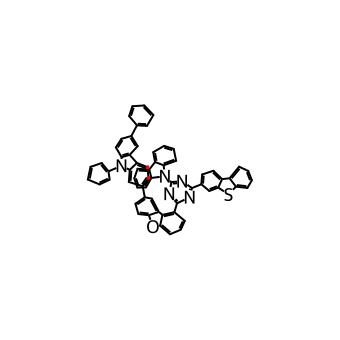 c1ccc(-c2ccc3c(c2)c2ccc(-c4ccc5oc6cccc(-c7nc(-c8ccc9c(c8)sc8ccccc89)nc(-n8c9ccccc9c9ccccc98)n7)c6c5c4)cc2n3-c2ccccc2)cc1